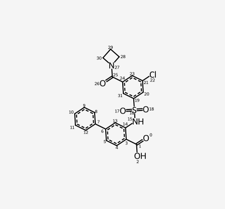 O=C(O)c1ccc(-c2ccccc2)cc1NS(=O)(=O)c1cc(Cl)cc(C(=O)N2CCC2)c1